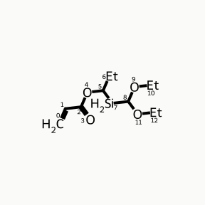 C=CC(=O)OC(CC)[SiH2]C(OCC)OCC